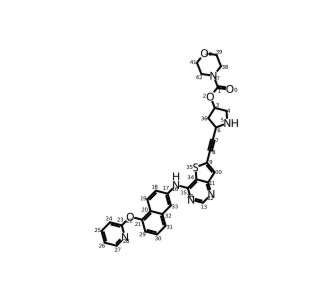 O=C(OC1CNC(C#Cc2cc3ncnc(Nc4ccc5c(Oc6ccccn6)cccc5c4)c3s2)C1)N1CCOCC1